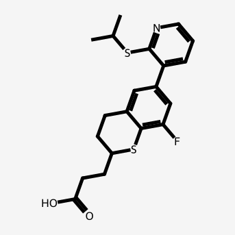 CC(C)Sc1ncccc1-c1cc(F)c2c(c1)CCC(CCC(=O)O)S2